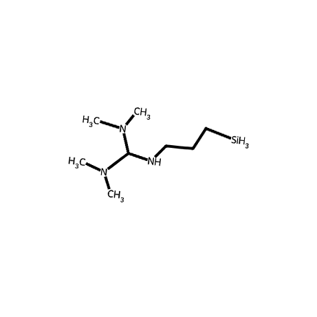 CN(C)C(NCCC[SiH3])N(C)C